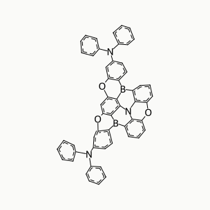 c1ccc(N(c2ccccc2)c2ccc3c(c2)Oc2cc4c5c6c2B3c2cccc3c2N6c2c(cccc2B5c2ccc(N(c5ccccc5)c5ccccc5)cc2O4)O3)cc1